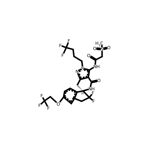 CS(=O)(=O)CC(=O)Nc1c2c(nn1CCCC(F)(F)F)C[C@@]1(NC2=O)c2ccc(OCC(F)(F)F)cc2CC1(F)F